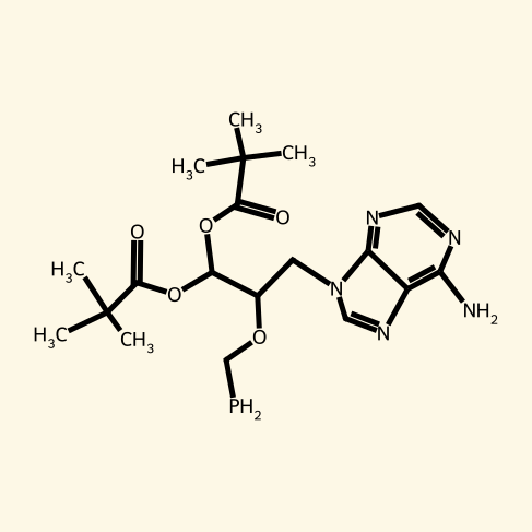 CC(C)(C)C(=O)OC(OC(=O)C(C)(C)C)C(Cn1cnc2c(N)ncnc21)OCP